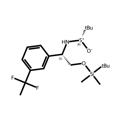 CC(F)(F)c1cccc([C@@H](CO[Si](C)(C)C(C)(C)C)N[S@@+]([O-])C(C)(C)C)c1